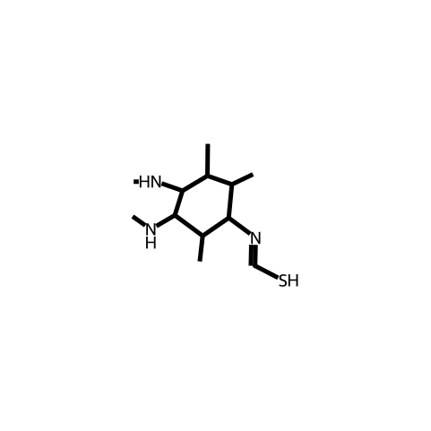 CNC1C(C)C(C)C(N=CS)C(C)C1NC